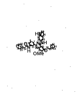 COc1cc2nc(-c3cccc(NC(=O)CN4CCOCC4)c3)nc(Nc3ccc4[nH]ncc4c3)c2cc1OCCN1CCCC1